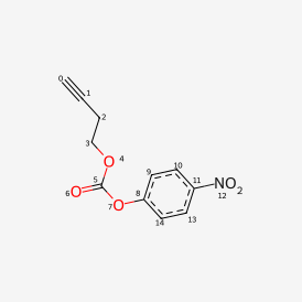 C#CCCOC(=O)Oc1ccc([N+](=O)[O-])cc1